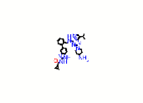 CC(C)c1cnn2c(NCc3ccccc3-c3ccc4[nH]c(NC(=O)C5CC5)nc4c3)nc(N3CCC(N)CC3)nc12